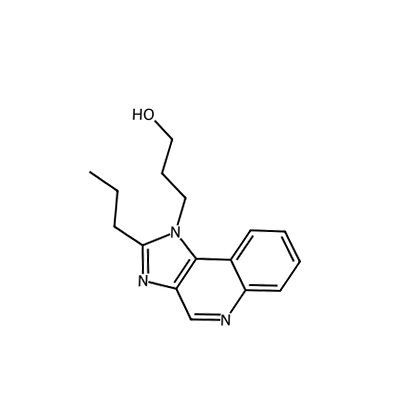 CCCc1nc2cnc3ccccc3c2n1CCCO